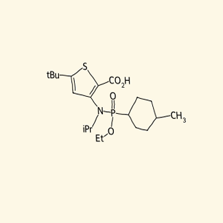 CCOP(=O)(C1CCC(C)CC1)N(c1cc(C(C)(C)C)sc1C(=O)O)C(C)C